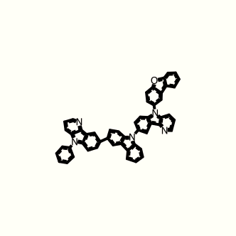 c1ccc(-n2c3ccc(-c4ccc5c(c4)c4ccccc4n5-c4ccc5c(c4)c4ncccc4n5-c4ccc5oc6ccccc6c5c4)cc3c3ncccc32)cc1